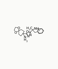 C[C@@](N)(Cc1ccccc1)c1nnc(C2(N)CCC3(CC2)OCCO3)o1